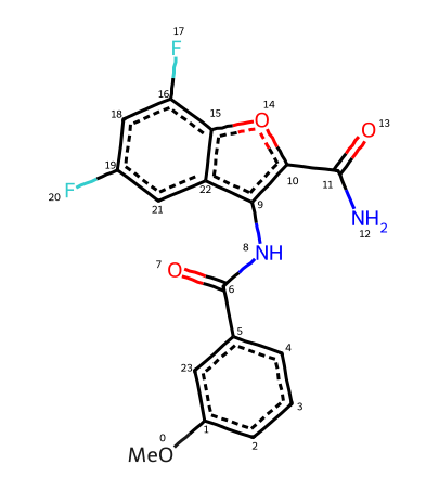 COc1cccc(C(=O)Nc2c(C(N)=O)oc3c(F)cc(F)cc23)c1